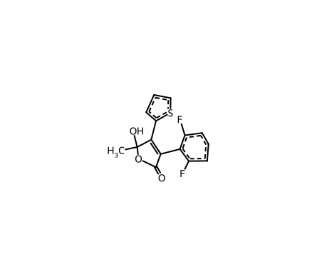 CC1(O)OC(=O)C(c2c(F)cccc2F)=C1c1cccs1